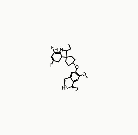 CCC(N)[C@]1(C2C=C(F)C=C(F)C2)CC[C@H](Oc2cc3cc[nH]c(=O)c3cc2OC)CC1